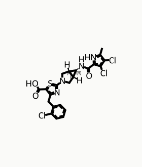 Cc1[nH]c(C(=O)N[C@@H]2[C@@H]3CN(c4nc(Cc5ccccc5Cl)c(C(=O)O)s4)C[C@@H]32)c(Cl)c1Cl